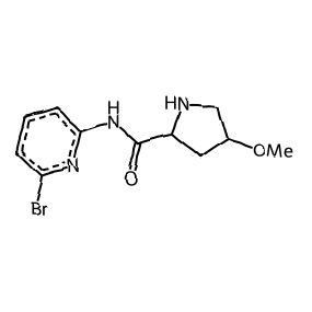 COC1CNC(C(=O)Nc2cccc(Br)n2)C1